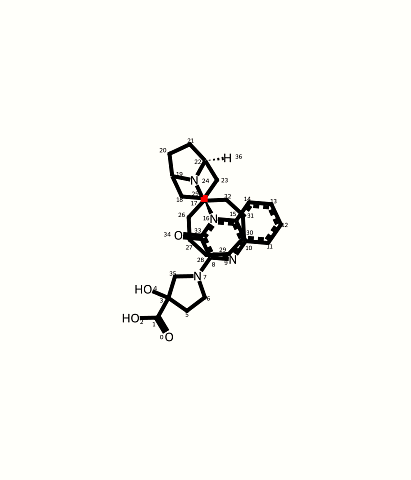 O=C(O)C1(O)CCN(c2nc3ccccc3n([C@H]3CC4CC[C@@H](C3)N4C3CCCCCCC3)c2=O)C1